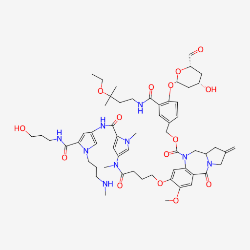 C=C1CC2CN(C(=O)OCc3ccc(O[C@H]4C[C@@H](O)C[C@@H](C=O)O4)c(C(=O)NCCC(C)(C)OCC)c3)c3cc(OCCCC(=O)N(C)c4cc(C(=O)Nc5cc(C(=O)NCCCO)n(CCCNC)c5)n(C)c4)c(OC)cc3C(=O)N2C1